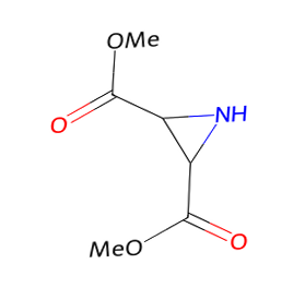 COC(=O)C1NC1C(=O)OC